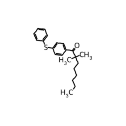 CCCCCCC(C)(C)C(=O)c1ccc(Sc2ccccc2)cc1